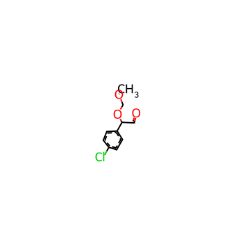 COCOC(C=O)c1ccc(Cl)cc1